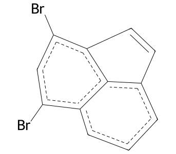 Brc1cc(Br)c2cccc3c2c1C=C3